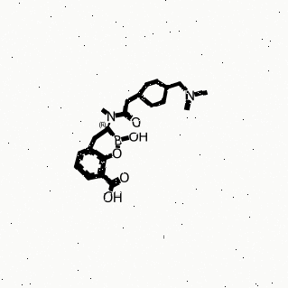 CN(C)CC1CCC(CC(=O)N(C)[C@H]2Cc3cccc(C(=O)O)c3OB2O)CC1